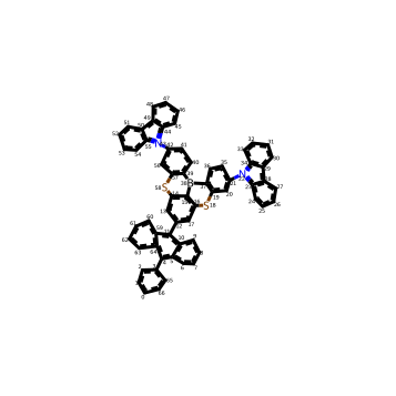 c1ccc(-c2c3ccccc3c(-c3cc4c5c(c3)Sc3cc(-n6c7ccccc7c7ccccc76)ccc3B5c3ccc(-n5c6ccccc6c6ccccc65)cc3S4)c3ccccc23)cc1